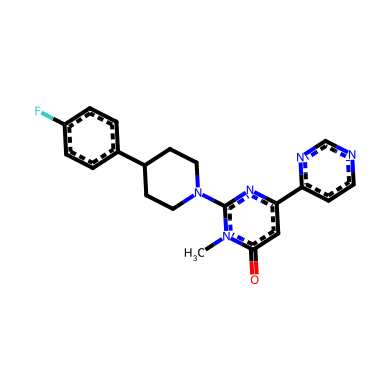 Cn1c(N2CCC(c3ccc(F)cc3)CC2)nc(-c2ccncn2)cc1=O